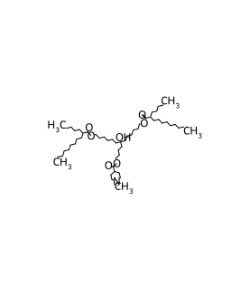 CCCCCCCCCC(CCCCC)C(=O)OCCCCCCC(O)(CCCCCCOC(=O)C(CCCCC)CCCCCCCCC)CCCCOC(=O)C1CCN(C)CC1